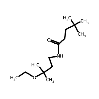 CCOC(C)(C)CCNC(=O)CCC(C)(C)C